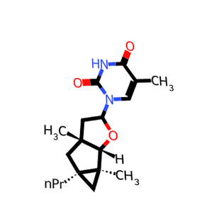 CCC[C@]12C[C@]3(C)CC(n4cc(C)c(=O)[nH]c4=O)O[C@@H]3[C@@]1(C)C2